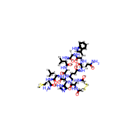 CSCC[C@H](NC(=O)[C@H](CC(C)C)NC(=O)[C@H](Cc1cnc[nH]1)NC(=O)CNC(=O)[C@@H](NC(=O)[C@H](C)NC(=O)[C@H](Cc1c[nH]c2ccccc12)NC(=O)[C@H](CCC(N)=O)NC(=O)CCCCNC(=O)C1CNC(=O)CSSCC(=O)N1)C(C)C)C(N)=O